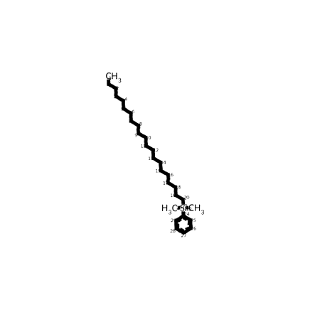 CCCCCCCCCCCCCCCCCCCC[CH][Si](C)(C)c1ccccc1